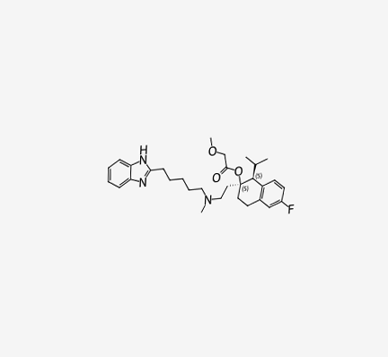 COCC(=O)O[C@]1(CCN(C)CCCCCc2nc3ccccc3[nH]2)CCc2cc(F)ccc2[C@@H]1C(C)C